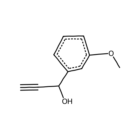 C#CC(O)c1cccc(OC)c1